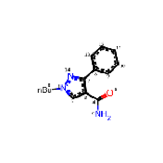 CCCCn1cc(C(N)=O)c(-c2ccccc2)n1